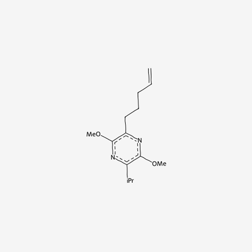 C=CCCCc1nc(OC)c(C(C)C)nc1OC